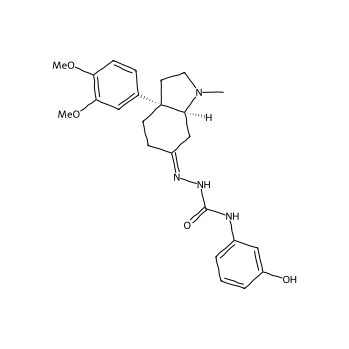 COc1ccc([C@@]23CC/C(=N/NC(=O)Nc4cccc(O)c4)C[C@@H]2N(C)CC3)cc1OC